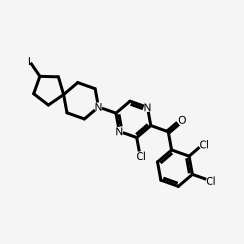 O=C(c1cccc(Cl)c1Cl)c1ncc(N2CCC3(CCC(I)C3)CC2)nc1Cl